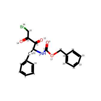 O=C(N[C@@H](Cc1ccccc1)C(=O)C(=O)CBr)OCc1ccccc1